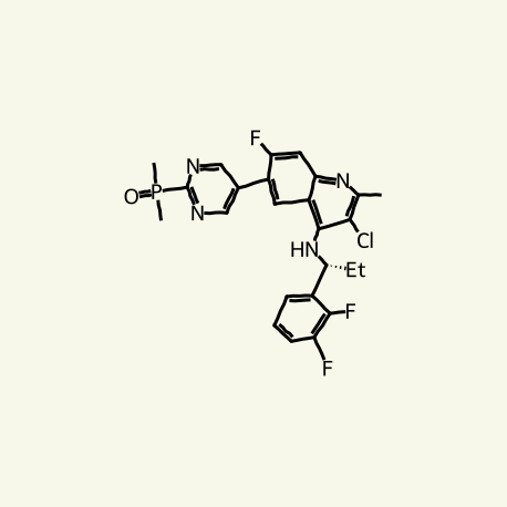 CC[C@@H](Nc1c(Cl)c(C)nc2cc(F)c(-c3cnc(P(C)(C)=O)nc3)cc12)c1cccc(F)c1F